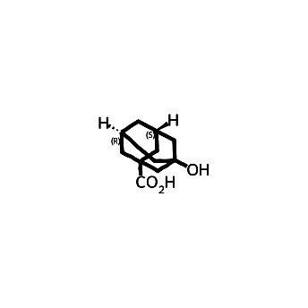 O=C(O)C12C[C@@H]3C[C@@H](CC(O)(C3)C1)C2